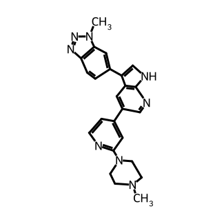 CN1CCN(c2cc(-c3cnc4[nH]cc(-c5ccc6nnn(C)c6c5)c4c3)ccn2)CC1